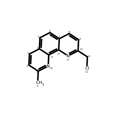 Cc1ccc2ccc3ccc(CCl)nc3c2n1